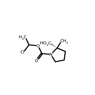 CC(Cl)OC(=O)N1CCC[C@@]1(C)C(=O)O